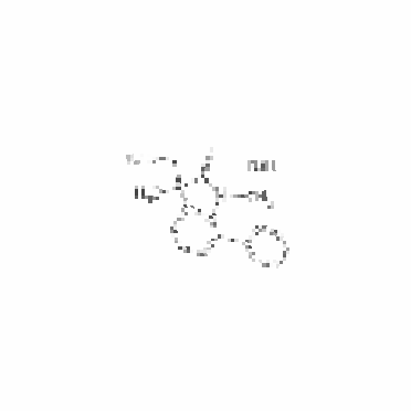 CN1C(=O)C(C)(CS(=O)(=O)O)c2cccc(-c3ccccc3)c21.[NaH]